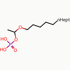 CCCCCCCCCCCCOC(C)OP(=O)(O)O